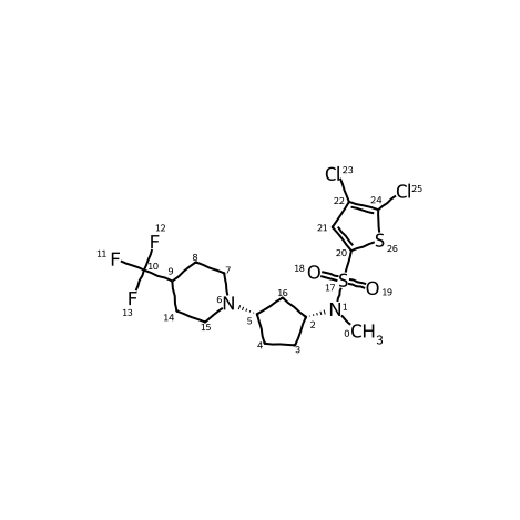 CN([C@@H]1CC[C@H](N2CCC(C(F)(F)F)CC2)C1)S(=O)(=O)c1cc(Cl)c(Cl)s1